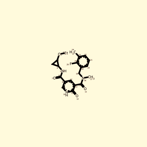 CCOC1CC1NC(=O)c1c[nH]c(=O)c(C(=O)N(C)Cc2cccc(C)c2F)c1